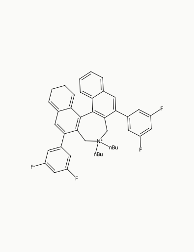 CCCC[N+]1(CCCC)Cc2c(-c3cc(F)cc(F)c3)cc3c(c2-c2c(c(-c4cc(F)cc(F)c4)cc4ccccc24)C1)=CCCC=3